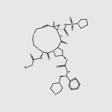 CC(C)(C)OC(=O)N[C@H]1CCCCC/C=C/[C@@H]2C[C@@]2(C(=O)NS(=O)(=O)N2CCCC2)NC(=O)C2C[C@@H](OC(=O)N[C@H](CN3CCOCC3)c3ccccc3)CN2C1=O